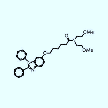 COCCN(CCOC)C(=O)CCCCCOc1ccc2nc(-c3ccccc3)n(-c3ccccc3)c2c1